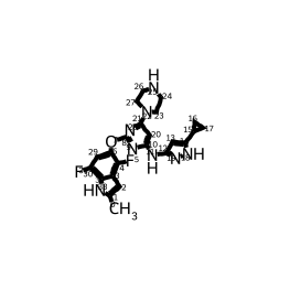 Cc1cc2c(F)c(Oc3nc(Nc4cc(C5CC5)[nH]n4)cc(N4CCNCC4)n3)cc(F)c2[nH]1